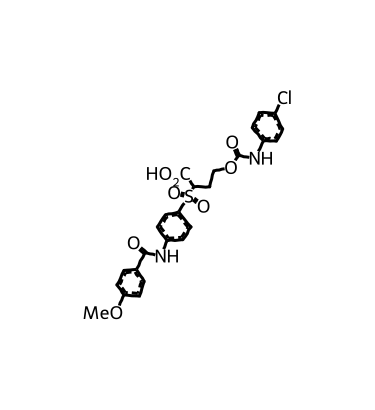 COc1ccc(C(=O)Nc2ccc(S(=O)(=O)C(CCOC(=O)Nc3ccc(Cl)cc3)C(=O)O)cc2)cc1